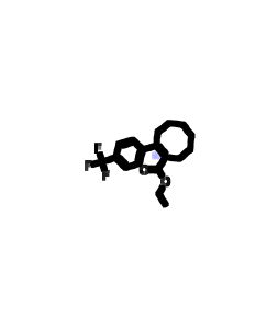 CCOC(=O)/C1=C(\c2ccc(C(F)(F)F)cc2)CCCCCC1